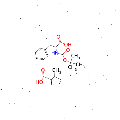 CC(C)(C)OC(=O)NC(Cc1ccccc1)C(=O)O.CC1=C(C(=O)O)CCC1